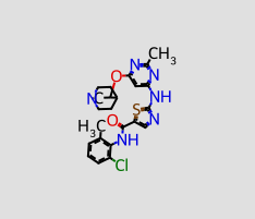 Cc1nc(Nc2ncc(C(=O)Nc3c(C)cccc3Cl)s2)cc(OC2CN3CCC2CC3)n1